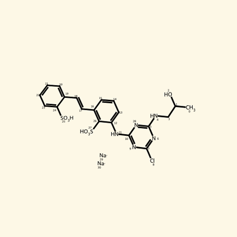 CC(O)CNc1nc(Cl)nc(Nc2cccc(C=Cc3ccccc3S(=O)(=O)O)c2S(=O)(=O)O)n1.[Na].[Na]